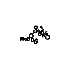 COc1ccc(C2CC(=O)N(CC(=O)N(CC3CC3)c3nc4ccccc4s3)C2)cc1OC1CCCO1